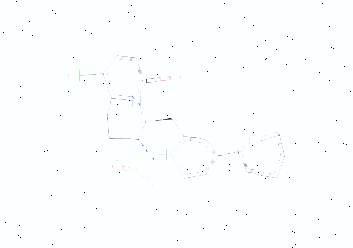 CS(=O)(=O)N[C@H]1CCc2c(Cl)ccc(=O)n2[C@H]1Cc1cccc(-c2ccccc2)c1